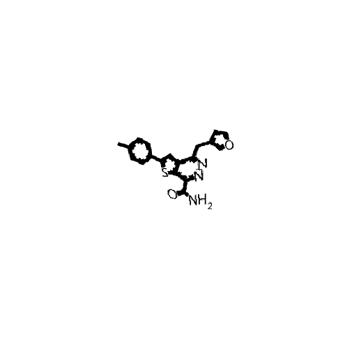 Cc1ccc(-c2cc3c(Cc4ccoc4)nnc(C(N)=O)c3s2)cc1